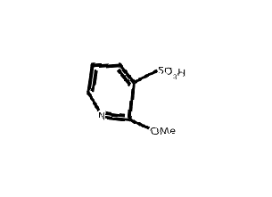 COc1ncccc1S(=O)(=O)O